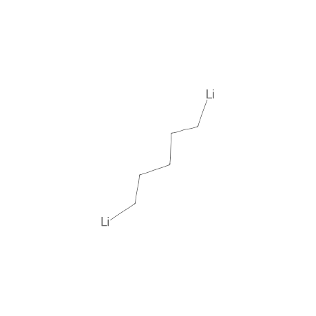 [Li][CH2]CCC[CH2][Li]